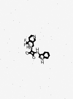 O=c1c(NCc2cnccc2C(F)(F)F)c(Nc2c[nH]c3ccccc23)c1=O